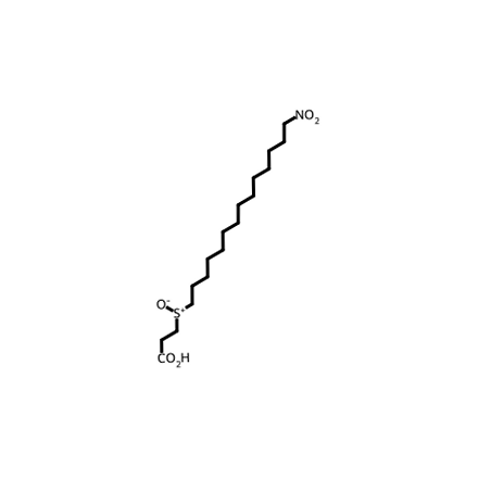 O=C(O)CC[S+]([O-])CCCCCCCCCCCCCC[N+](=O)[O-]